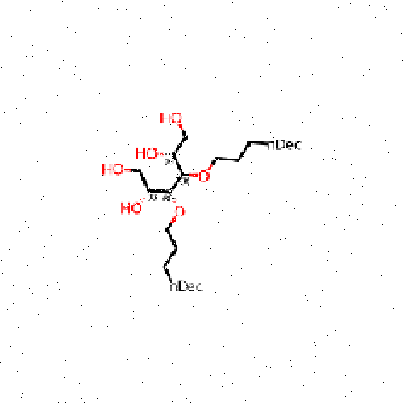 CCCCCCCCCCCCCO[C@@H]([C@H](OCCCCCCCCCCCCC)[C@H](O)CO)[C@H](O)CO